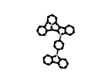 c1ccc2c(c1)c1ccccc1n2-c1ccc(-n2c3ccccc3c3c2c2c4ccccc4c4cccc3n42)cc1